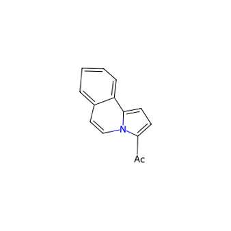 CC(=O)c1ccc2c3ccccc3ccn12